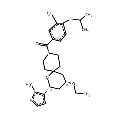 CCO[C@@H]1C[C@H](c2ccnn2C)OC2(CCN(C(=O)c3ccc(OC(C)C)c(C)c3)CC2)C1